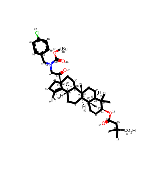 CC(C)C1=C2[C@H]3CC[C@@H]4[C@@]5(C)CC[C@H](OC(=O)CC(C)(C)C(=O)O)C(C)(C)[C@@H]5CC[C@@]4(C)[C@]3(C)CC[C@@]2(C(=O)CN(Cc2ccc(Cl)cc2)C(=O)OC(C)(C)C)CC1